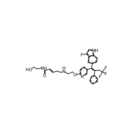 O=C(/C=C/CCNCCOc1ccc(/C(=C(/CC(F)(F)F)c2ccccc2)c2ccc3[nH]cc(F)c3c2)cn1)NCCO